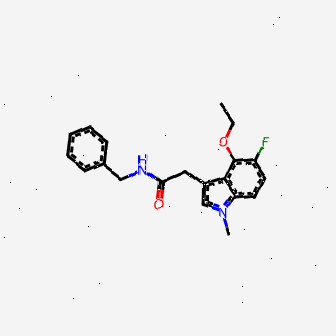 CCOc1c(F)ccc2c1c(CC(=O)NCc1ccccc1)cn2C